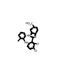 Cc1ccccc1N.O=C(O)c1ccc2nc(-c3cccc(Cl)c3Cl)[nH]c2c1